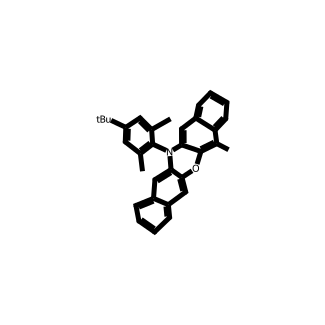 Cc1cc(C(C)(C)C)cc(C)c1N1c2cc3ccccc3cc2Oc2c1cc1ccccc1c2C